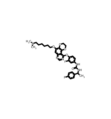 CC(NC(=O)Nc1ccc(Oc2ncnc3cc(OCCCCCCN(C)C)c4c(c23)OCCO4)c(F)c1)c1ccc(F)cc1